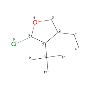 CCC1COC(Cl)C1C(C)(C)C